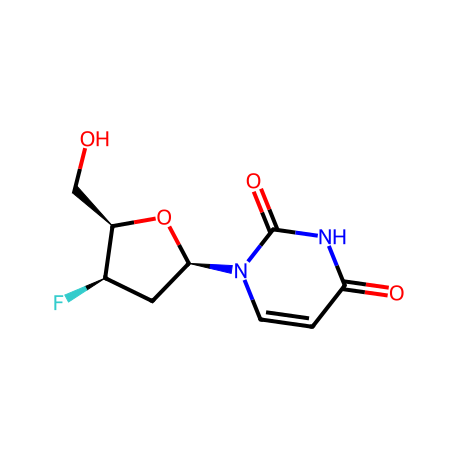 O=c1ccn([C@H]2C[C@@H](F)[C@@H](CO)O2)c(=O)[nH]1